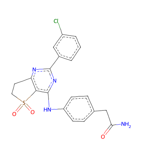 NC(=O)Cc1ccc(Nc2nc(-c3cccc(Cl)c3)nc3c2S(=O)(=O)CC3)cc1